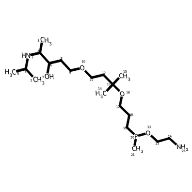 CC(C)NC(C)C(O)CCOCCC(C)(C)OCCCP(C)OCCN